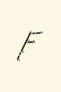 CC(C)CCCSCCOC(=O)CCCCCCCC(CCCCCCCC(=O)OCCSCCCC(C)C)OC(=O)CCCN(C)C